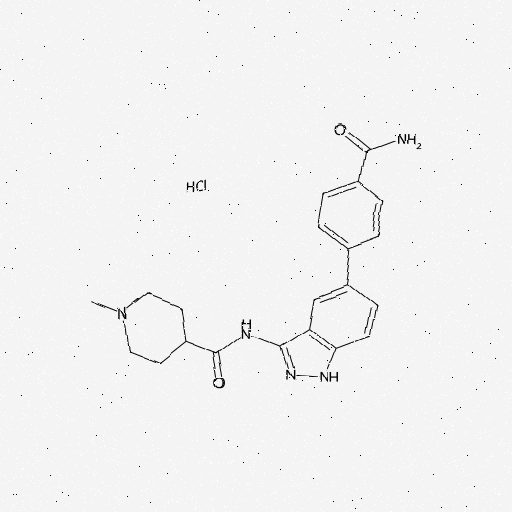 CN1CCC(C(=O)Nc2n[nH]c3ccc(-c4ccc(C(N)=O)cc4)cc23)CC1.Cl